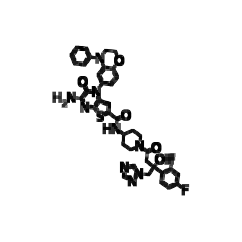 Nc1nc2sc(C(=O)NC3CCN(C(=O)CC(O)(Cn4cncn4)c4ccc(F)cc4F)CC3)cc2n(-c2ccc3c(c2)N(c2ccccc2)CCO3)c1=O